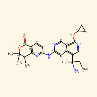 COCC(C)(N)c1cnc(OC2CC2)c2cnc(Nc3ccc4c(n3)[C@@H](C)C(C)(C)OC4=O)cc12